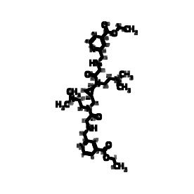 CCOC(=O)c1ccnc(CNCC(=O)N(CCN(C)C)CC2CC2N(CCN(C)C)C(=O)CNCc2cc(C(=O)OCC)ccn2)c1